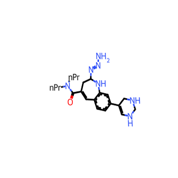 CCCN(CCC)C(=O)C1=Cc2ccc(C3=CNCNC3)cc2NC(N=NN)C1